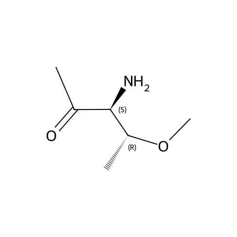 CO[C@H](C)[C@H](N)C(C)=O